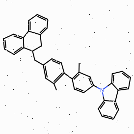 Cc1cc(CC2Cc3ccccc3-c3ccccc32)ccc1-c1ccc(-n2c3ccccc3c3ccccc32)cc1C